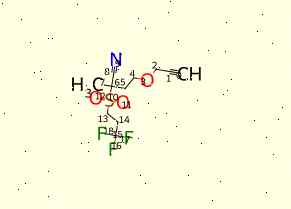 C#CCOCCC(C)(C#N)S(=O)(=O)CCC(F)(F)F